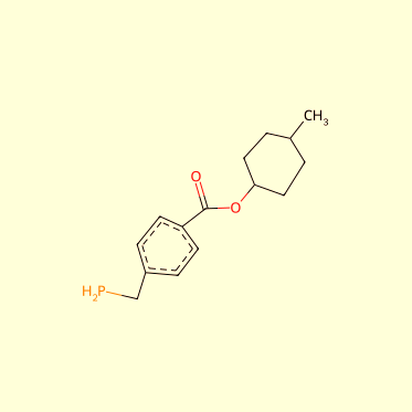 CC1CCC(OC(=O)c2ccc(CP)cc2)CC1